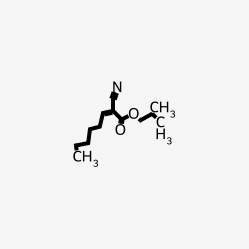 CCCCCC=C(C#N)C(=O)OCC(C)C